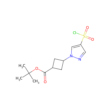 CC(C)(C)OC(=O)C1CC(n2cc(S(=O)(=O)Cl)cn2)C1